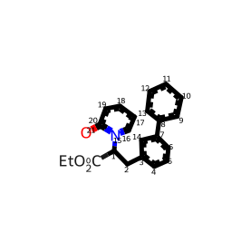 CCOC(=O)C(Cc1cccc(-c2ccccc2)c1)n1ccccc1=O